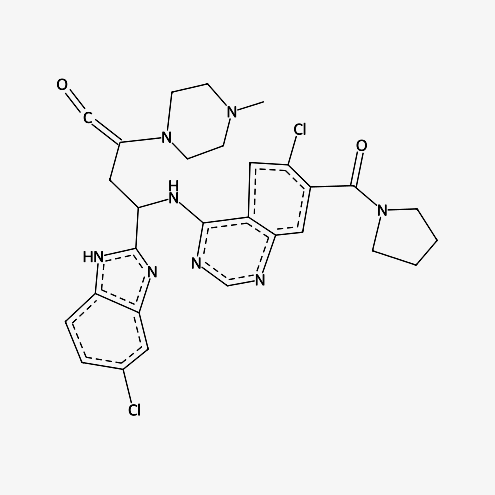 CN1CCN(C(=C=O)CC(Nc2ncnc3cc(C(=O)N4CCCC4)c(Cl)cc23)c2nc3cc(Cl)ccc3[nH]2)CC1